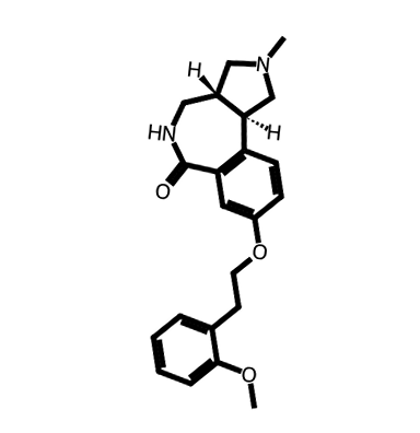 COc1ccccc1CCOc1ccc2c(c1)C(=O)NC[C@@H]1CN(C)C[C@@H]21